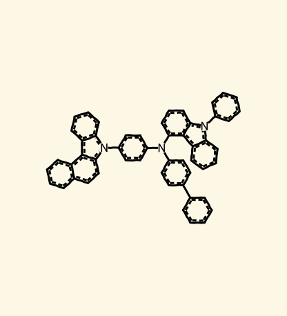 c1ccc(-c2ccc(N(c3ccc(-n4c5ccccc5c5c6ccccc6ccc54)cc3)c3cccc4c3c3ccccc3n4-c3ccccc3)cc2)cc1